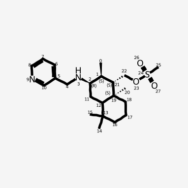 C[C@@H]1[C@H](NCc2cccnc2)CC2C(C)(C)CCC[C@]2(C)[C@H]1COS(C)(=O)=O